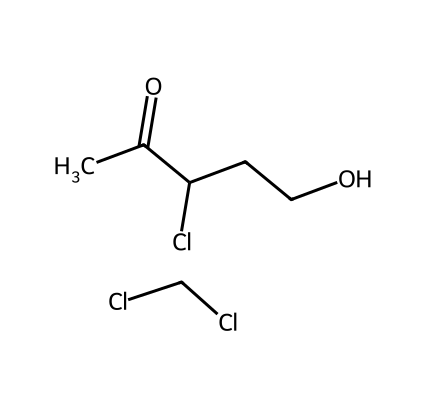 CC(=O)C(Cl)CCO.ClCCl